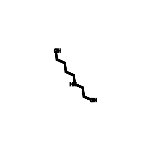 OCCCCNCCO